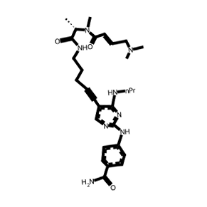 CCCNc1nc(Nc2ccc(C(N)=O)cc2)ncc1C#CCCCNC(=O)[C@H](C)N(C)C(=O)C=CCN(C)C